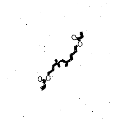 C=CC(=O)OCCCCC(C)CC(C)(C)CCCOC(=O)C=C